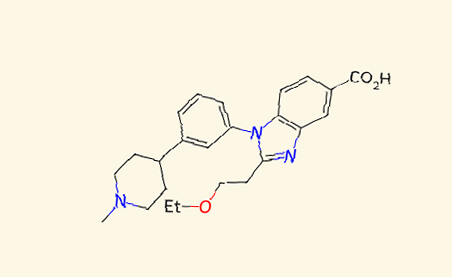 CCOCCc1nc2cc(C(=O)O)ccc2n1-c1cccc(C2CCN(C)CC2)c1